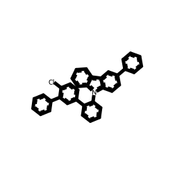 Clc1ccc(-c2ccccc2-n2c3ccccc3c3cc(-c4ccccc4)ccc32)cc1-c1ccccc1